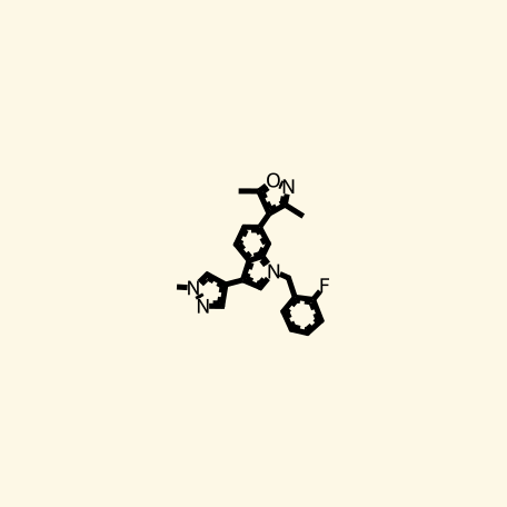 Cc1noc(C)c1-c1ccc2c(-c3cnn(C)c3)cn(Cc3ccccc3F)c2c1